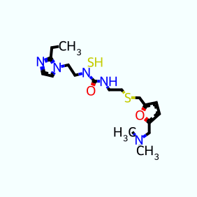 CCc1nccn1CCN(S)C(=O)NCCSCc1ccc(CN(C)C)o1